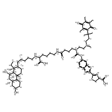 CC1=C(C)C(=O)C(C(C)(C)CCN(C)CCN(CCCC(=O)NCCCCC(NCCC[C@@H](C)[C@H]2CC[C@H]3[C@@H]4[C@H](O)C[C@@H]5C[C@H](O)CC[C@]5(C)[C@H]4CC[C@]23C)C(=O)O)C(=O)Oc2ccc3nc(C4=NC(C(=O)O)CS4)sc3c2)=C(C)C1=O